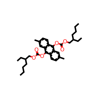 CCCCC(CC)COC(=O)Oc1c2ccc(C)cc2c(OC(=O)OCC(CC)CCCC)c2ccc(C)cc12